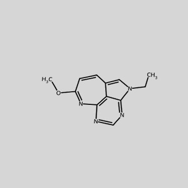 CCn1cc2c3c(ncnc31)N=C(OC)C=C2